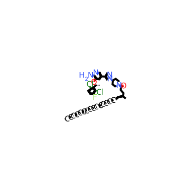 C=C=C=C=C=C=C=C=C=C=C=C=C=C=C=C=C=C=C(C)CCC(=O)N1CCC(n2cc(-c3cnc(N)c(O[C@H](C)c4c(Cl)ccc(F)c4Cl)c3)cn2)CC1